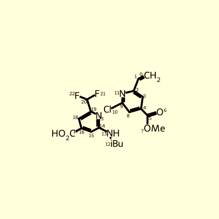 C=Cc1cc(C(=O)OC)cc(Cl)n1.CC[C@H](C)Nc1cc(C(=O)O)cc(C(F)F)n1